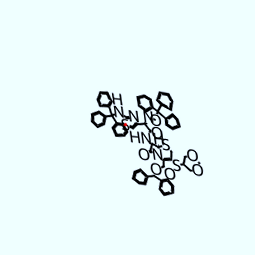 O=C(OC(c1ccccc1)c1ccccc1)C1=C(SC2COCOC2)CS[C@@H]2C(NC(=O)/C(=N\OC(c3ccccc3)(c3ccccc3)c3ccccc3)c3csc(NC(c4ccccc4)(c4ccccc4)c4ccccc4)n3)C(=O)N12